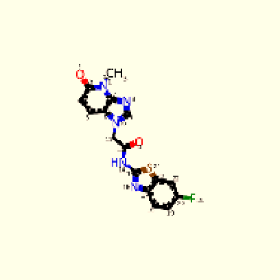 Cn1c(=O)ccc2c1ncn2CC(=O)Nc1nc2ccc(F)cc2s1